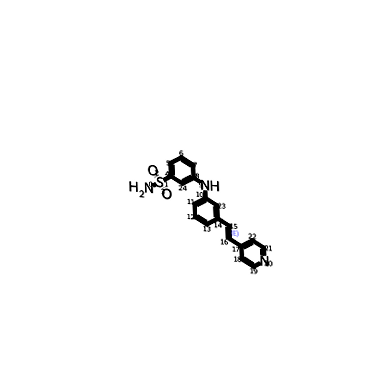 NS(=O)(=O)c1cccc(Nc2cccc(/C=C/c3ccncc3)c2)c1